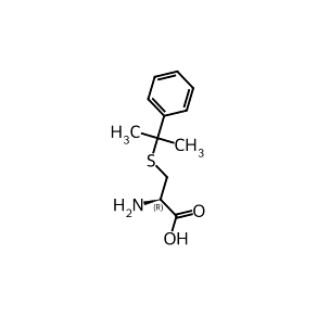 CC(C)(SC[C@H](N)C(=O)O)c1ccccc1